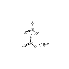 O=[Si]([O-])[O-].O=[Si]([O-])[O-].[Ba+2].[Zn+2]